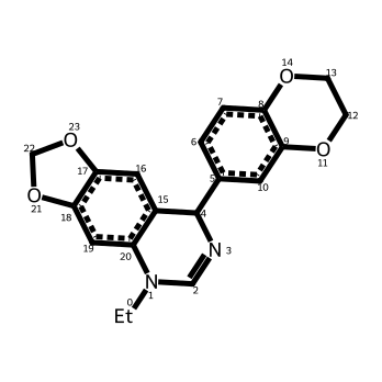 CCN1C=NC(c2ccc3c(c2)OCCO3)c2cc3c(cc21)OCO3